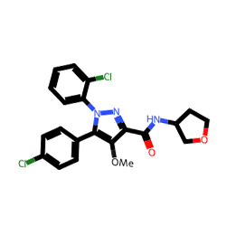 COc1c(C(=O)NC2CCOC2)nn(-c2ccccc2Cl)c1-c1ccc(Cl)cc1